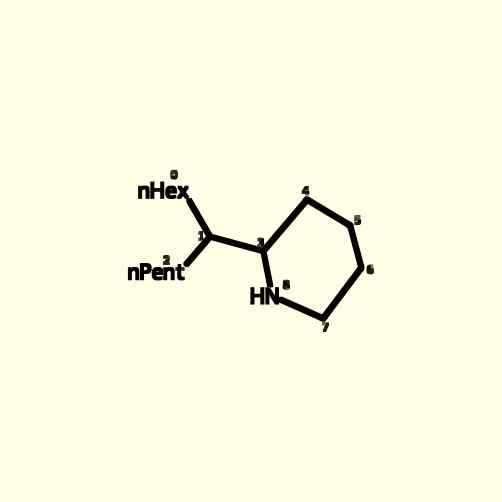 CCCCCCC(CCCCC)C1CCCCN1